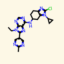 CCn1c(-c2cnc(C)nc2)nc2c(NC3CCc4nc(Cl)n(C5CC5)c4C3)ncnc21